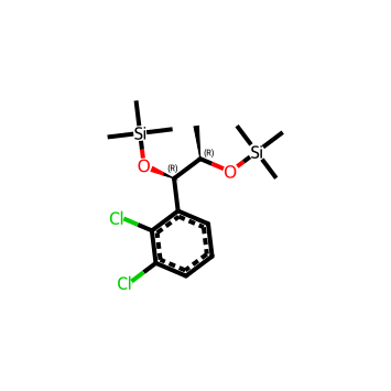 C[C@@H](O[Si](C)(C)C)[C@H](O[Si](C)(C)C)c1cccc(Cl)c1Cl